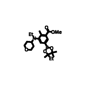 CCN(c1cc(B2OC(C)(C)C(C)(CC)O2)cc(C(=O)OC)c1C)C1CCOCC1